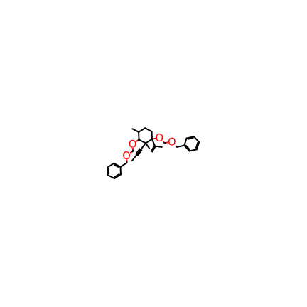 C=C(C)C1(OCOCc2ccccc2)CCC(C)C(OCOCc2ccccc2)C1(C)C#CC